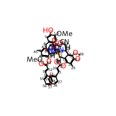 COc1cc2c(cc1O)CCN[C@]21CS[C@@H]2c3c(OC(=O)/C=C/c4ccccc4)c(C)c4c(c3[C@H](COC1=O)N1C2[C@H]2c3c(cc(C)c(OC)c3OC(=O)/C=C/c3ccccc3)C3[C@@H]([C@@H]1C#N)N32)OCO4